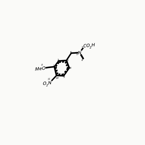 COc1cc(CN(C)C(=O)O)ccc1[N+](=O)[O-]